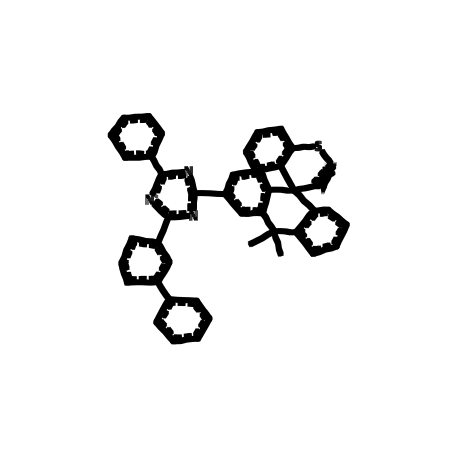 CC1(C)c2ccccc2C2(c3ccccc3Sc3ccccc32)c2ccc(-c3nc(-c4ccccc4)nc(-c4cccc(-c5ccccc5)c4)n3)cc21